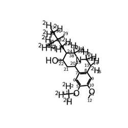 [2H]C([2H])([2H])Oc1cc2c(cc1OC)C([2H])([2H])C([2H])([2H])N1C2CC(O)C(C([2H])([2H])C(C)(C([2H])([2H])[2H])C([2H])([2H])[2H])C1([2H])[2H]